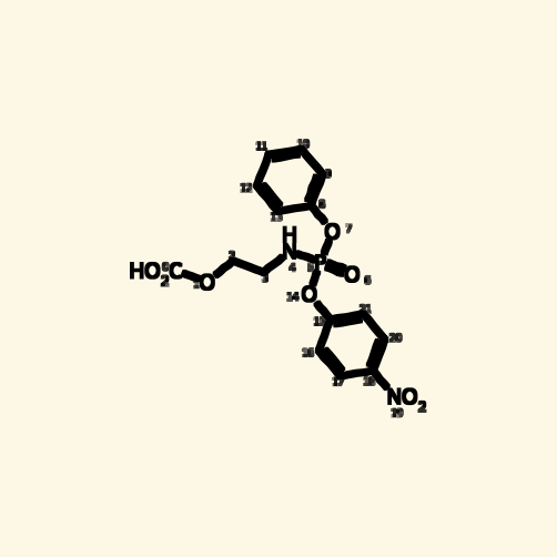 O=C(O)OCCNP(=O)(Oc1ccccc1)Oc1ccc([N+](=O)[O-])cc1